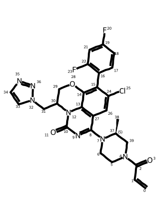 C=CC(=O)N1CCN(c2nc(=O)n3c4c(c(-c5ccc(F)cc5F)c(Cl)cc24)OCC3Cn2ccnn2)[C@@H](C)C1